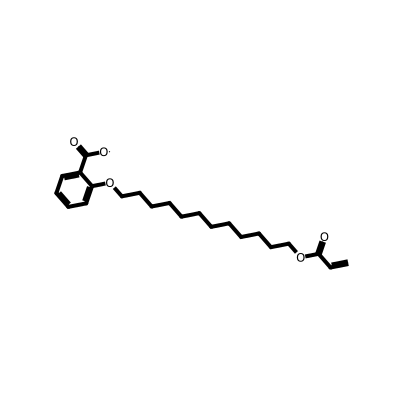 C=CC(=O)OCCCCCCCCCCCCOc1ccccc1C([O])=O